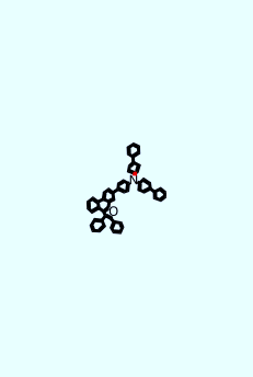 c1ccc(-c2ccc(N(c3ccc(-c4ccccc4)cc3)c3ccc(-c4ccc5c6ccccc6c6c(-c7ccccc7)c(-c7ccccc7)oc6c5c4)cc3)cc2)cc1